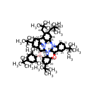 Cc1cc(C(C)(C)C)cc(C)c1B1c2cc(C(C)(C)C)cc3oc4c5cc(C(C)(C)C)ccc5n5c6cc(CC(C)(C)C)c(CC(C)(C)C)c7c8cc(C(C)(C)C)cc9c1c(n(c98)c76)n(c23)c45